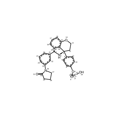 O=C(N[C@]1(c2ccc(OC(F)(F)F)cc2)CCOc2cccnc21)c1cccc(N2CCCC2=O)c1.O=CO